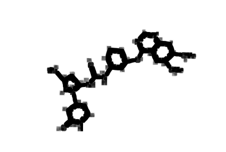 COc1cc2ncnc(Oc3cccc(NC(=O)Nc4cc(C(C)(C)C)nn4-c4cc[nH]c(=O)c4)c3)c2cc1OC